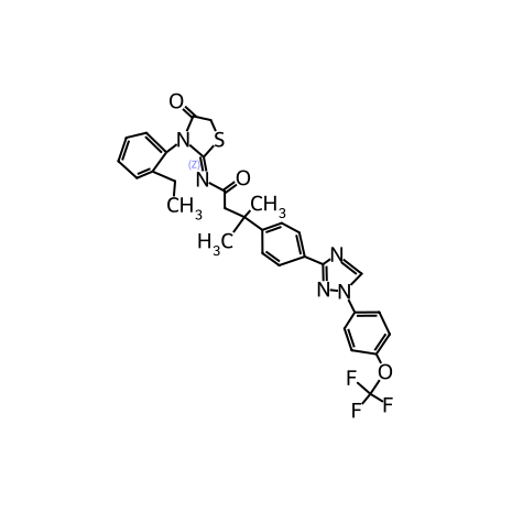 CCc1ccccc1N1C(=O)CS/C1=N\C(=O)CC(C)(C)c1ccc(-c2ncn(-c3ccc(OC(F)(F)F)cc3)n2)cc1